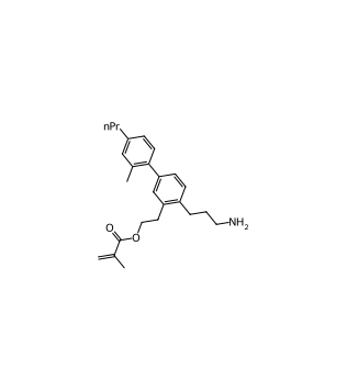 C=C(C)C(=O)OCCc1cc(-c2ccc(CCC)cc2C)ccc1CCCN